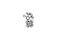 O=[N+]([O-])C([N+](=O)[O-])([N+](=O)[O-])[N+](=O)[O-].O=[N+]([O-])c1cccc(Cl)c1[N+](=O)[O-]